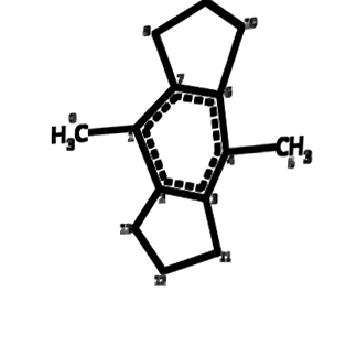 Cc1c2c(c(C)c3c1CCC3)CCC2